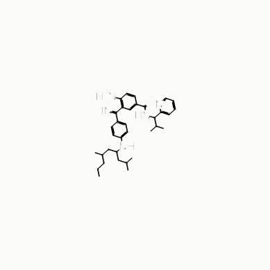 CCCC(C)CC(CC(C)C)Nc1ccc(C(=N)c2cc(C(=O)NC(c3ccccn3)C(C)C)ccc2N)cc1